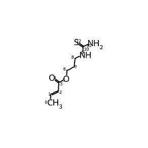 CC=CC(=O)OCCCNC(N)=S